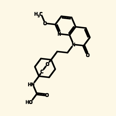 COc1ccc2ccc(=O)n(CCC34CCC(NC(=O)O)(CC3)CO4)c2n1